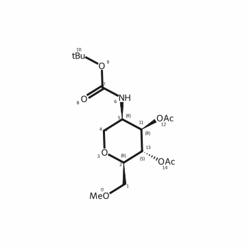 COC[C@H]1O[CH][C@@H](NC(=O)OC(C)(C)C)[C@@H](OC(C)=O)[C@@H]1OC(C)=O